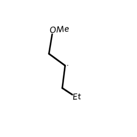 [CH2]CC[CH]COC